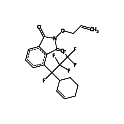 C=CCON1C(=O)c2cccc(C(F)(C3C=CCCC3)C(F)(F)C(F)(F)F)c2C1=O